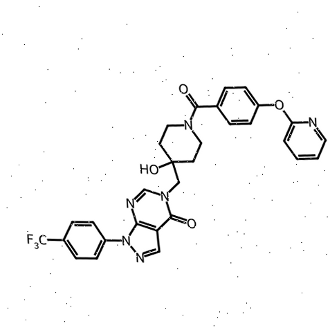 O=C(c1ccc(Oc2ccccn2)cc1)N1CCC(O)(Cn2cnc3c(cnn3-c3ccc(C(F)(F)F)cc3)c2=O)CC1